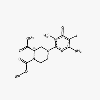 COC(=O)[C@H]1CN(c2nc(N)c(I)c(=O)n2C)CCN1C(=O)OC(C)(C)C